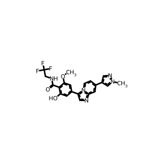 COc1cc(-c2cnc3cc(-c4cnn(C)c4)ccn23)cc(O)c1C(=O)NCC(F)(F)F